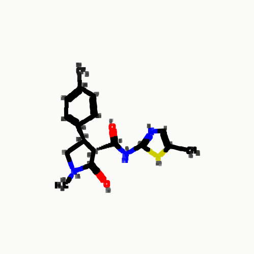 Cc1cnc(NC(=O)[C@@H]2C(=O)N(C)C[C@H]2c2ccc(C(F)(F)F)cc2)s1